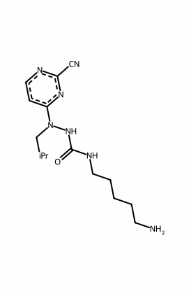 CC(C)CN(NC(=O)NCCCCCN)c1ccnc(C#N)n1